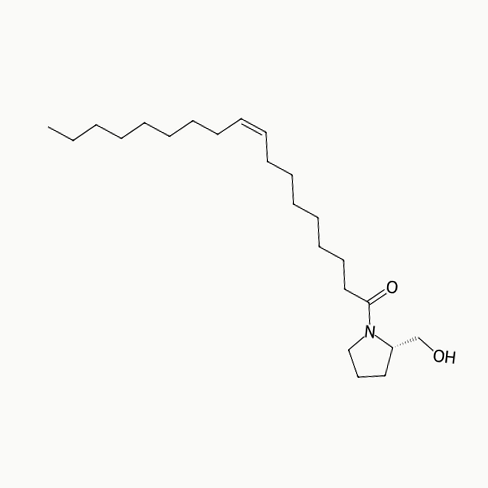 CCCCCCCC/C=C\CCCCCCCC(=O)N1CCC[C@H]1CO